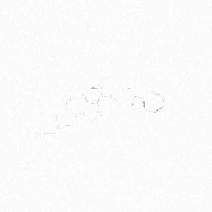 O=C(O)C(Cc1c[nH]c2ccc(O)cc12)Nc1ncnc2c1ncn2C1OC(CO)C(O)C1O